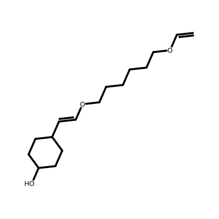 C=COCCCCCCOC=CC1CCC(O)CC1